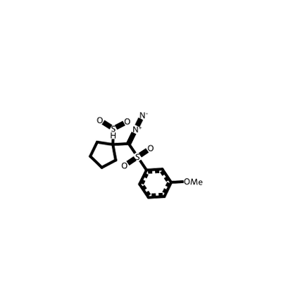 COc1cccc(S(=O)(=O)C(=[N+]=[N-])C2([SH](=O)=O)CCCC2)c1